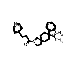 CN(C)C1(c2ccccc2)CCC2(CCN(C(=O)CCc3ccncc3)C2)CC1